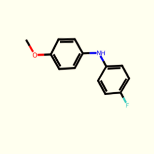 COc1ccc(Nc2ccc(F)cc2)cc1